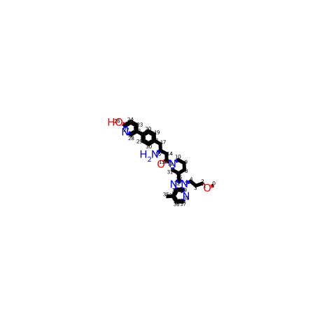 COCCCn1c(C2CCCN(C(=O)CC(N)Cc3ccc(-c4ccc(O)nc4)cc3)C2)nc2c(C)ccnc21